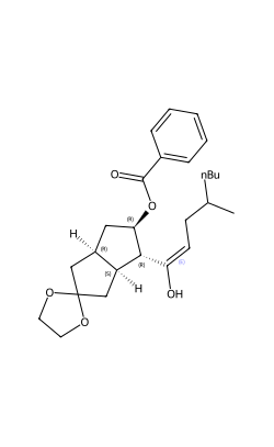 CCCCC(C)C/C=C(/O)[C@@H]1[C@H]2CC3(C[C@H]2C[C@H]1OC(=O)c1ccccc1)OCCO3